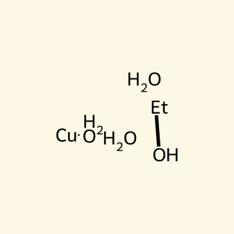 CCO.O.O.O.[Cu]